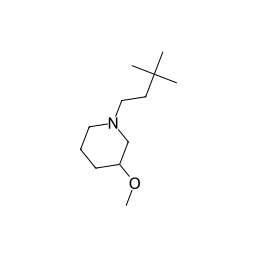 COC1CCCN(CCC(C)(C)C)C1